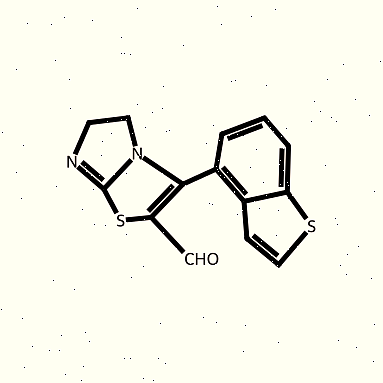 O=CC1=C(c2cccc3sccc23)N2CCN=C2S1